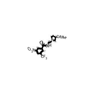 CO[C@@H]1CCN(CCNC(=O)c2cc([N+](=O)[O-])cc(C(F)(F)F)c2)C1